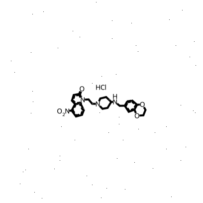 Cl.O=c1ccc2c([N+](=O)[O-])cccc2n1CCN1CCC(NCc2ccc3c(c2)OCCO3)CC1